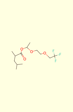 CC(C)CC(C)C(=O)OC(C)OCCOCC(F)(F)F